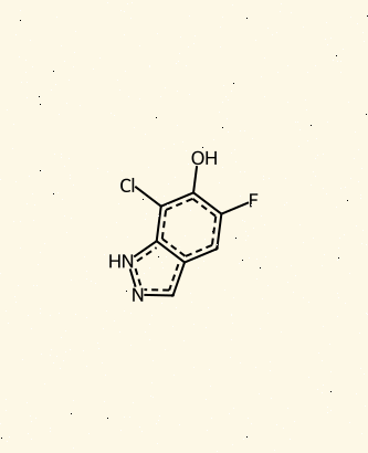 Oc1c(F)cc2cn[nH]c2c1Cl